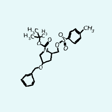 Cc1ccc(S(=O)(=O)OCC2CC(OCc3ccccc3)CN2C(=O)OC(C)(C)C)cc1